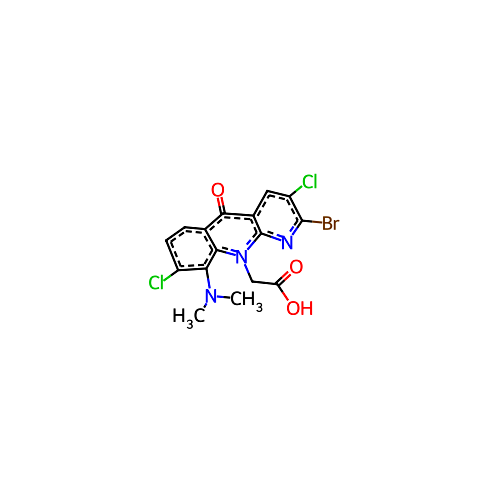 CN(C)c1c(Cl)ccc2c(=O)c3cc(Cl)c(Br)nc3n(CC(=O)O)c12